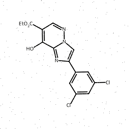 CCOC(=O)c1cnn2cc(-c3cc(Cl)cc(Cl)c3)nc2c1O